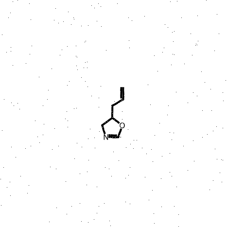 C=CCC1CN=[C]O1